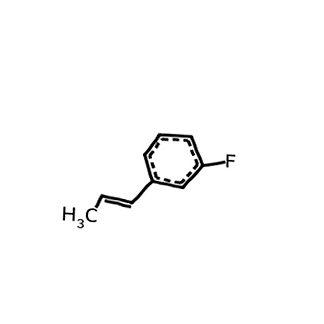 C/C=C/c1cccc(F)c1